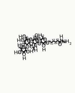 CC(=O)NC1C(O[C@H]2OC(CO)[C@H](O)[C@H](O)C2O[C@@H]2OC(C)[C@H](O)[C@H](O)C2O)[C@H](O)[C@H](CO)O[C@@H]1O[C@@H]1C(O)[C@H](OCCCCCC(=O)NN)OC(C)[C@@H]1O